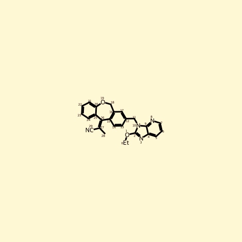 CCOc1nc2cccnc2n1Cc1ccc2c(c1)COc1ccccc1C2=C(C)C#N